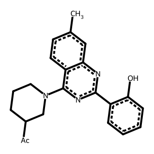 CC(=O)C1CCCN(c2nc(-c3ccccc3O)nc3cc(C)ccc23)C1